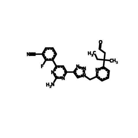 CCC(C)(CC=O)c1cccc(Cn2cc(-c3cc(-c4cccc(C#N)c4F)nc(N)n3)nn2)n1